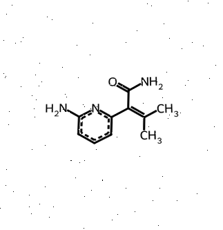 CC(C)=C(C(N)=O)c1cccc(N)n1